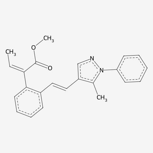 CC=C(C(=O)OC)c1ccccc1C=Cc1cnn(-c2ccccc2)c1C